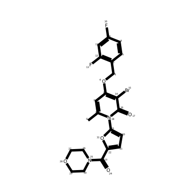 Cc1cc(OCc2ccc(F)cc2F)c(Br)c(=O)n1-c1ccc(C(=O)N2CCOCC2)o1